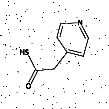 O=C(S)Cc1ccncc1